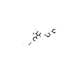 [C-]#[N+]c1c(N)nc(SCc2cccc(Nc3ccncc3)n2)c(C#N)c1-c1ccc(OCCO)nc1